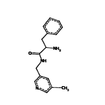 Cc1cncc(CNC(=O)C(N)Cc2ccccc2)c1